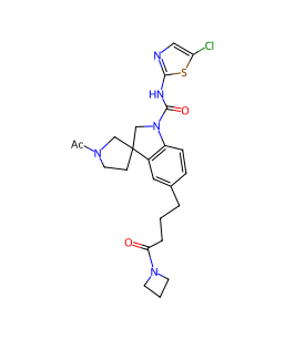 CC(=O)N1CCC2(C1)CN(C(=O)Nc1ncc(Cl)s1)c1ccc(CCCC(=O)N3CCC3)cc12